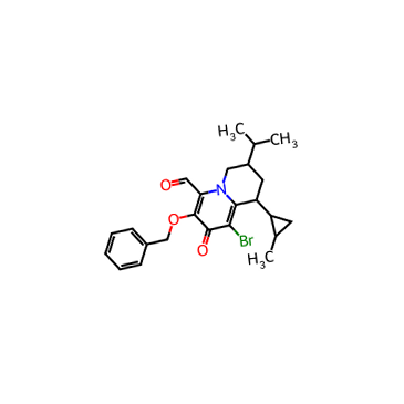 CC(C)C1CC(C2CC2C)c2c(Br)c(=O)c(OCc3ccccc3)c(C=O)n2C1